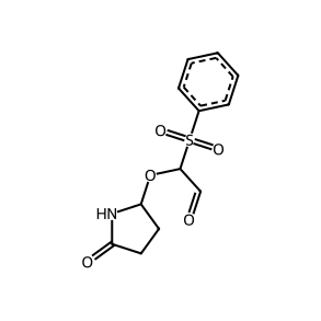 O=CC(OC1CCC(=O)N1)S(=O)(=O)c1ccccc1